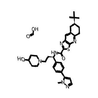 Cn1nccc1-c1ccc([C@@H](CCN2CCC(O)CC2)NC(=O)c2nc3cc4c(nc3s2)CC[C@H](C(C)(C)C)C4)cc1.O=CO